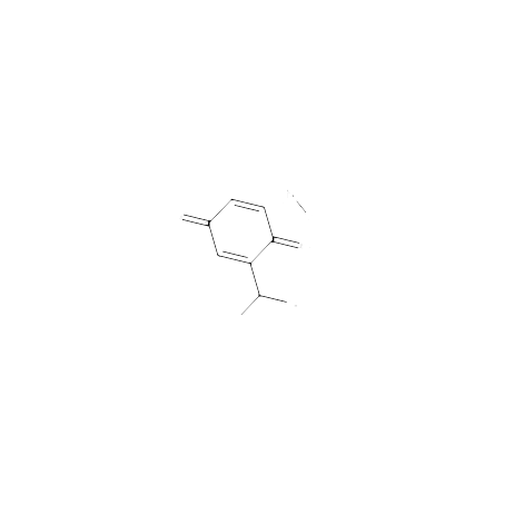 CCC([SiH3])C1=CC(=O)C=CC1=O.NC(=O)O